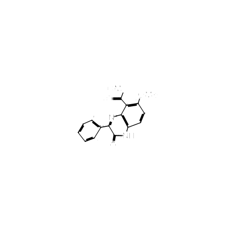 COC(=O)c1c(OC)ccc2[nH]c(=O)c(-c3ccccc3)nc12